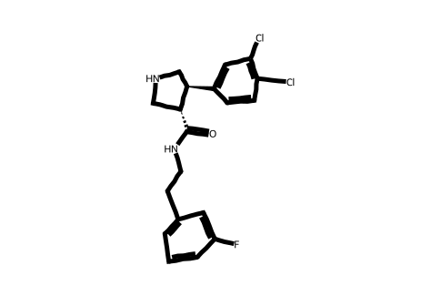 O=C(NCCc1cccc(F)c1)[C@@H]1CNC[C@H]1c1ccc(Cl)c(Cl)c1